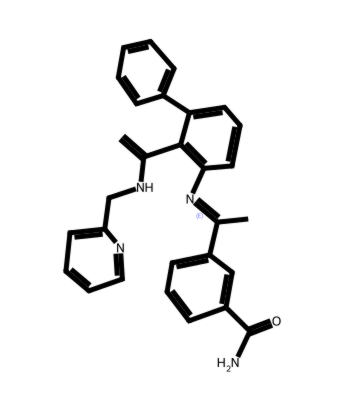 C=C(NCc1ccccn1)c1c(/N=C(\C)c2cccc(C(N)=O)c2)cccc1-c1ccccc1